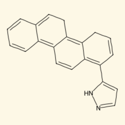 C1=CC(c2ccn[nH]2)=c2ccc3c(c2C1)CC=c1ccccc1=3